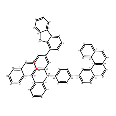 c1cc(-c2cccc3c2oc2ccccc23)cc(N(c2ccc(-c3ccc4ccc5ccc6ccccc6c5c4c3)cc2)c2ccccc2-c2cccc3ccccc23)c1